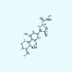 CN=C1SCCN(c2c(F)cc(N3C[C@H](C(=O)NC)OC3=O)cc2F)C1O